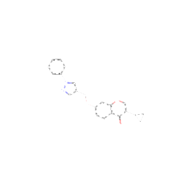 O=c1c(C2CC2)coc2cc(OCc3cnn(-c4ccccc4)c3)ccc12